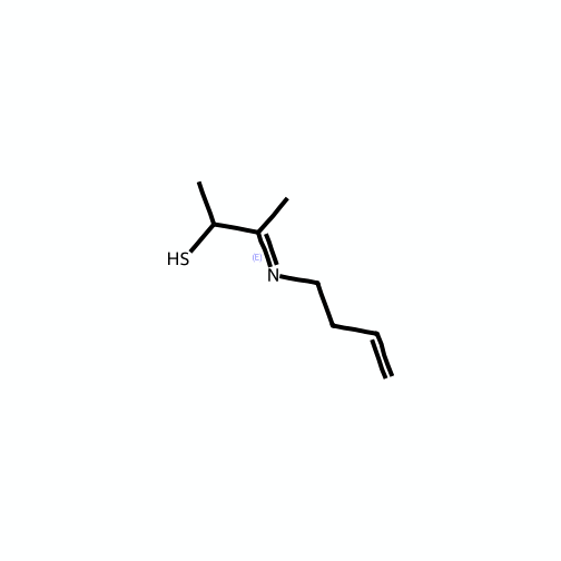 C=CCC/N=C(\C)C(C)S